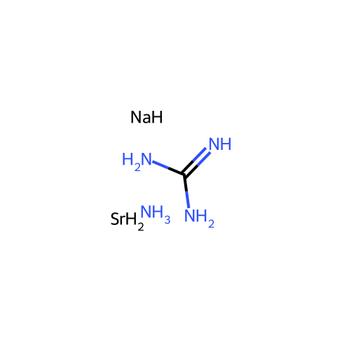 N.N=C(N)N.[NaH].[SrH2]